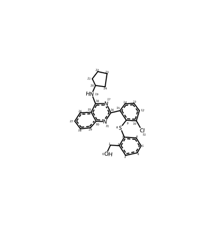 OCc1ccccc1Sc1c(Cl)cccc1-c1nc(NC2CCCC2)c2ccccc2n1